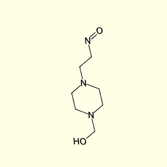 O=NCCN1CCN(CO)CC1